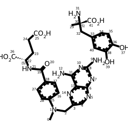 CN(Cc1cnc2nc(N)nc(N)c2n1)c1ccc(C(=O)N[C@@H](CCC(=O)O)C(=O)O)cc1.C[C@](N)(Cc1ccc(O)c(O)c1)C(=O)O